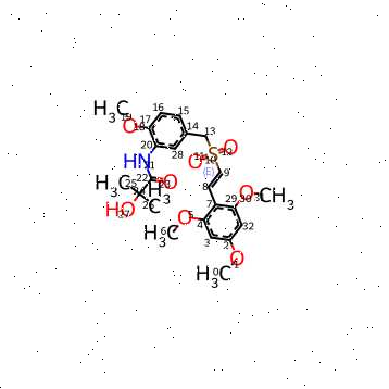 COc1cc(OC)c(/C=C/S(=O)(=O)Cc2ccc(OC)c(NC(=O)C(C)(C)O)c2)c(OC)c1